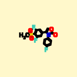 CS(=O)(=O)c1c(F)cc(-c2coc(=O)n2-c2ccc(F)cc2)cc1F